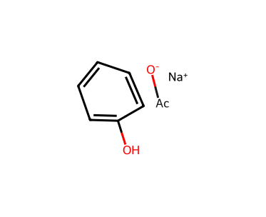 CC(=O)[O-].Oc1ccccc1.[Na+]